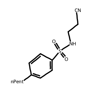 CCCCCc1ccc(S(=O)(=O)NCCC#N)cc1